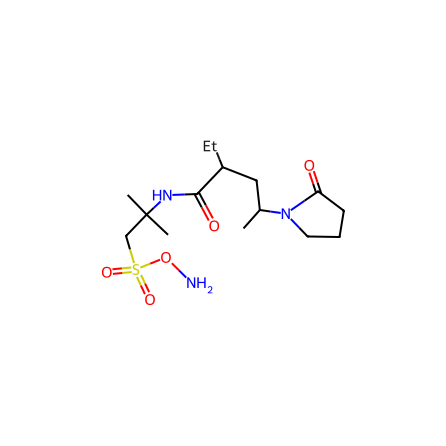 CCC(CC(C)N1CCCC1=O)C(=O)NC(C)(C)CS(=O)(=O)ON